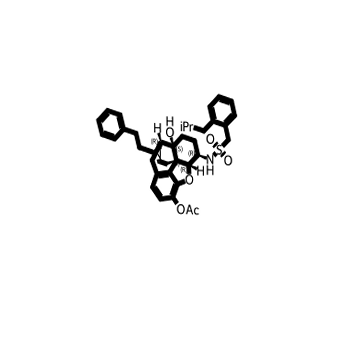 CC(=O)Oc1ccc2c3c1O[C@H]1[C@H](NS(=O)(=O)Cc4ccccc4CC(C)C)CC[C@@]4(O)[C@@H](C2)N(CCc2ccccc2)CC[C@]314